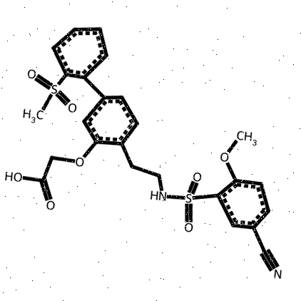 COc1ccc(C#N)cc1S(=O)(=O)NCCc1ccc(-c2ccccc2S(C)(=O)=O)cc1OCC(=O)O